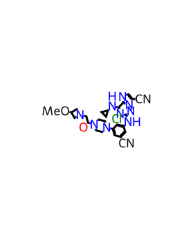 COC1CN(CC(=O)N2CCN(c3cc(C#N)cc(Nc4nc(NC5CC5)c5ncc(C#N)n5n4)c3Cl)CC2)C1